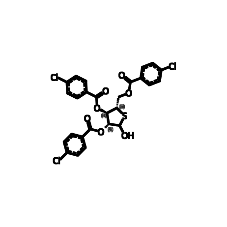 O=C(OC[C@@H]1SC(O)[C@H](OC(=O)c2ccc(Cl)cc2)[C@H]1OC(=O)c1ccc(Cl)cc1)c1ccc(Cl)cc1